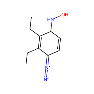 CCC1=C(CC)C(NO)C=CC1=[N+]=[N-]